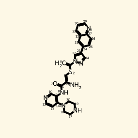 C=C(S/C=C(\N)C(=O)Nc1cnccc1N1CCNCC1)n1cc(-c2ccc3ncccc3c2)cn1